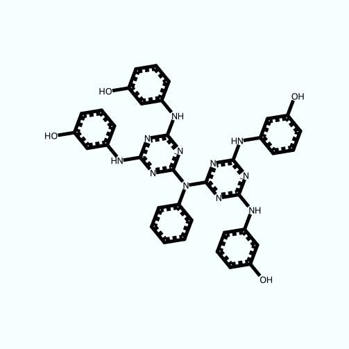 Oc1cccc(Nc2nc(Nc3cccc(O)c3)nc(N(c3ccccc3)c3nc(Nc4cccc(O)c4)nc(Nc4cccc(O)c4)n3)n2)c1